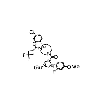 COc1ccc([C@@H]2CN(C(C)(C)C)C[C@H]2C(=O)N2CCC[C@@H](c3ccc(Cl)cc3)N(C(=O)C3CC(F)(F)C3)CC2)c(F)c1